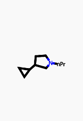 CCCN1CCC(C2CC2)C1